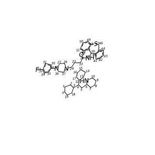 C1CCC(C(CC2CCCCN2)C2CCCCC2)CC1.O=C(CCCN1CCN(c2ccc(F)cc2)CC1)NC1c2ccccc2CSc2ccccc21